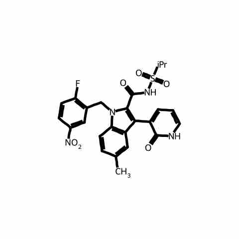 Cc1ccc2c(c1)c(-c1ccc[nH]c1=O)c(C(=O)NS(=O)(=O)C(C)C)n2Cc1cc([N+](=O)[O-])ccc1F